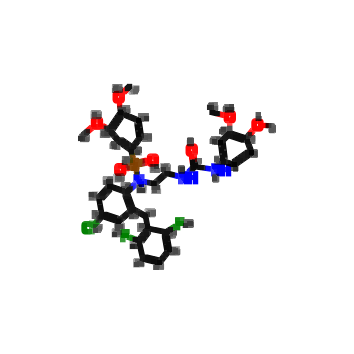 COc1ccc(NC(=O)NCCN(c2ccc(Cl)cc2Cc2c(F)cccc2F)S(=O)(=O)c2ccc(OC)c(OC)c2)cc1OC